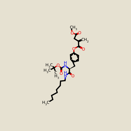 C=C(CC(=O)OC)C(=O)Oc1ccc(C[C@H](NC(=O)OC(C)(C)C)C(=O)NCCCCCCCC)cc1